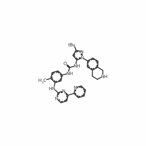 Cc1ccc(NC(=O)Nc2cc(C(C)(C)C)nn2-c2ccc3c(c2)CCNC3)cc1Nc1nccc(-c2ccccn2)n1